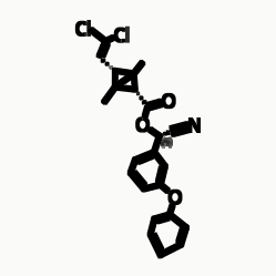 CC12[C@H](C=C(Cl)Cl)C1(C)[C@@H]2C(=O)O[C@H](C#N)c1cccc(Oc2ccccc2)c1